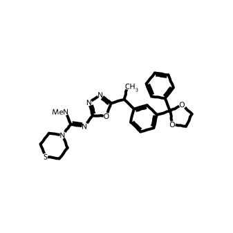 CN/C(=N\c1nnc(C(C)c2cccc(C3(c4ccccc4)OCCO3)c2)o1)N1CCSCC1